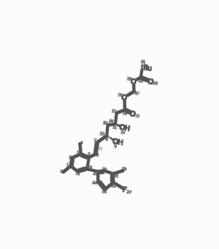 Cc1cc(C)c(/C=C/[C@@H](O)C[C@@H](O)CC(=O)OCOC(=O)C(C)(C)C)c(-c2ccc(F)c(C)c2)c1